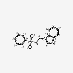 O=S(=O)(CCn1[c]nc2ccccc21)c1ccccc1